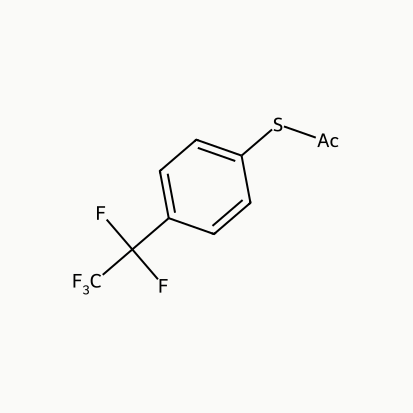 CC(=O)Sc1ccc(C(F)(F)C(F)(F)F)cc1